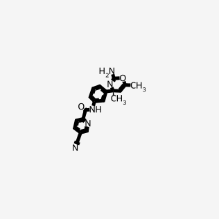 CC1=C[C@@](C)(c2cccc(NC(=O)c3ccc(C#N)cn3)c2)N=C(N)O1